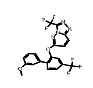 COc1cccc(-c2ccc(C(F)(F)F)cc2Oc2ccc3nnc(C(F)(F)F)n3n2)c1